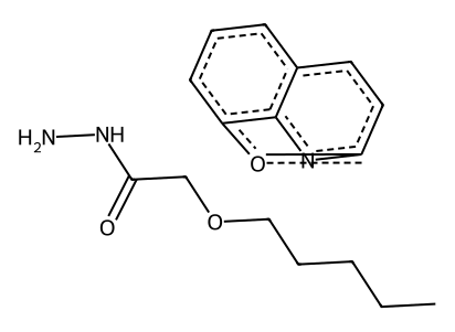 CCCCCOCC(=O)NN.c1cc2ccc3nc2c(c1)o3